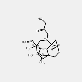 C=C[C@]1(C)C[C@@H](OC(=O)CO)[C@]23C[C@@H]2CCC2(CCC(=O)C23)[C@@H](C)[C@@H]1O